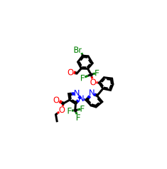 CCOC(=O)c1cnn(-c2cccc(-c3ccccc3OC(F)(F)c3ccc(Br)cc3C=O)n2)c1C(F)(F)F